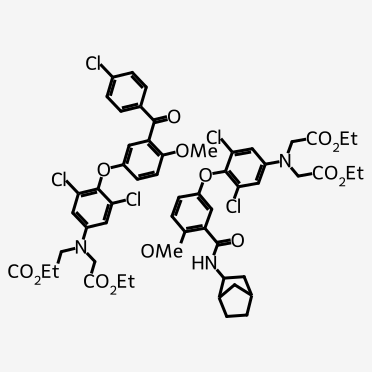 CCOC(=O)CN(CC(=O)OCC)c1cc(Cl)c(Oc2ccc(OC)c(C(=O)NC3CC4CCC3C4)c2)c(Cl)c1.CCOC(=O)CN(CC(=O)OCC)c1cc(Cl)c(Oc2ccc(OC)c(C(=O)c3ccc(Cl)cc3)c2)c(Cl)c1